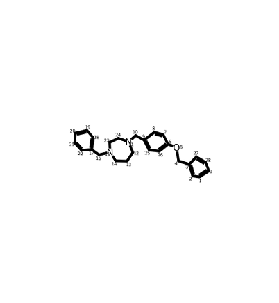 c1ccc(COc2ccc(CN3CCCN(Cc4ccccc4)CC3)cc2)cc1